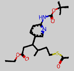 CCOC(=O)CC(c1ccc(NC(=O)OC(C)(C)C)nc1)C(C)CCSC(C)=O